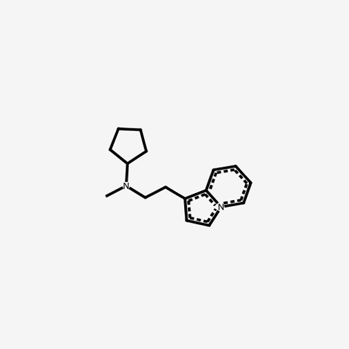 CN(CCc1ccn2ccccc12)C1CCCC1